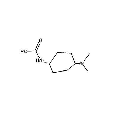 CN(C)[C@H]1CC[C@H](NC(=O)O)CC1